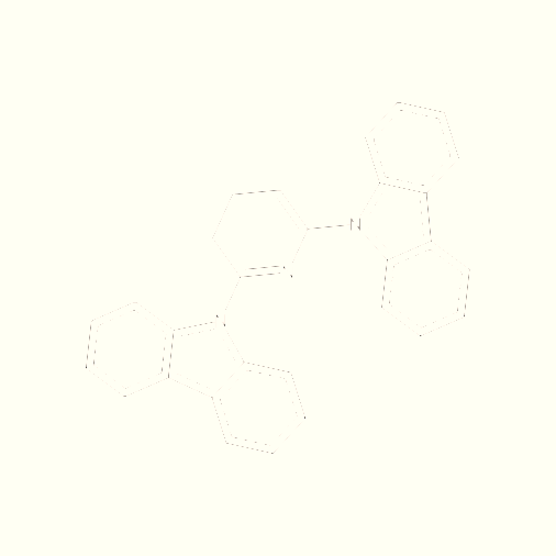 C1=C(n2c3ccccc3c3ccccc32)N=C(n2c3ccccc3c3ccccc32)CC1